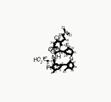 Cc1cc2cc(c1F)[C@H](CC(=O)O)NC(=O)[C@@H](n1cc(CCN(C)C)c(C(F)(F)F)cc1=O)c1cc(ccc1F)Oc1cccc(C)c1-2